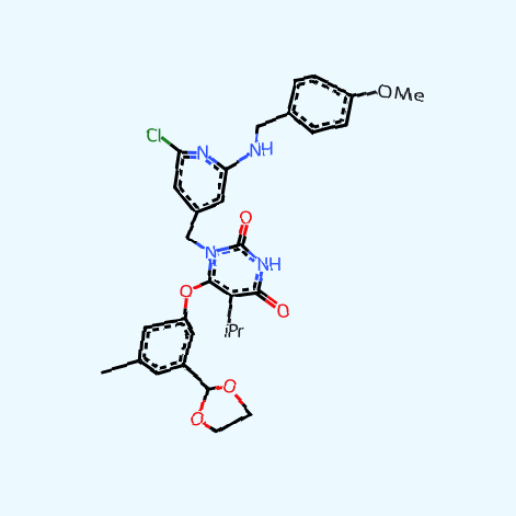 COc1ccc(CNc2cc(Cn3c(Oc4cc(C)cc(C5OCCO5)c4)c(C(C)C)c(=O)[nH]c3=O)cc(Cl)n2)cc1